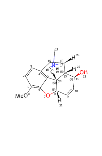 COc1ccc2c3c1O[C@H]1C=C[C@H](O)[C@H]4[C@@H](C2)N(C)CC[C@@]341